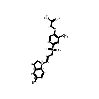 Cc1cc(S(=O)(=O)CC=CN2CCc3cc(Br)ccc32)ccc1OCC(=O)O